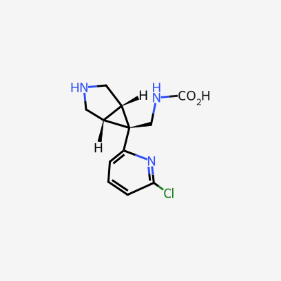 O=C(O)NC[C@@]1(c2cccc(Cl)n2)[C@@H]2CNC[C@@H]21